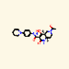 CC(=O)N1CC[C@@H]2NC(=O)C(C(=O)Nc3ccc(N4CCCCC4)cc3)=C(O)[C@H]2C1